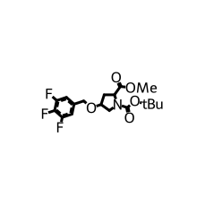 COC(=O)C1CC(OCc2cc(F)c(F)c(F)c2)CN1C(=O)OC(C)(C)C